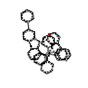 c1ccc(-c2ccc3c4cccc([Si](c5ccccc5)(c5ccccc5)c5ccccc5)c4n(-c4cccc5c6ccccc6n(-c6ccccc6)c45)c3c2)cc1